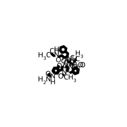 CC(=O)N(C1COc2ccc(NC(N)=O)cc21)[C@@H](Cc1ccccc1)C(=O)N[C@@H](CC(C)C)C(=O)NC(CC1CCCCC1)C(O)CC(=O)NCC(C)C.O.O